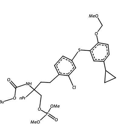 CCCC(CCc1ccc(Sc2cc(C3CC3)ccc2OCOC)cc1Cl)(COP(=O)(OC)OC)NC(=O)OC(C)(C)C